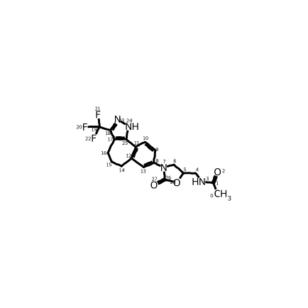 CC(=O)NCC1CN(c2ccc3c(c2)CCCc2c(C(F)(F)F)n[nH]c2-3)C(=O)O1